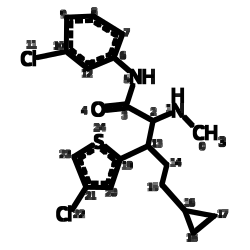 CNC(C(=O)Nc1cccc(Cl)c1)C(CCC1CC1)c1cc(Cl)cs1